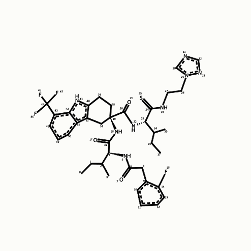 CCC(C)[C@H](NC(=O)Cc1ccccc1F)C(=O)N[C@]1(C(=O)N[C@H](C(=S)NCCn2cncn2)C(C)CC)CCc2[nH]c3c(C(F)(F)F)cccc3c2C1